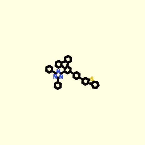 c1ccc(-c2nc(-c3ccccc3)nc(-c3cc(-c4ccc(-c5ccc6c(c5)sc5ccccc56)cc4)cc4c5ccccc5c5ccccc5c34)n2)cc1